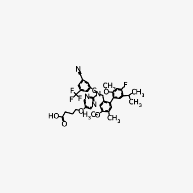 COc1cc(CN(Cc2cc(C#N)cc(C(F)(F)F)c2)c2ncc(OCCCC(=O)O)cn2)c(-c2cc(C(C)C)c(F)cc2OC)cc1C